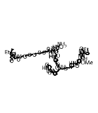 CC[C@@H]1C(=O)N(C)c2cnc(Nc3ccc(C(=O)NC4CCN(CCOCCC(C#Cc5cccc6c5CN(C5CCC(=O)NC5=O)C6=O)NC(=O)OCc5ccc(NC(=O)[C@H](CCCNC(N)=O)NC(=O)[C@@H](NC(=O)CCOCCOCCOCCOCCOCCNC(=O)CCN6C(=O)CC(CC(CC)(CC)C7CC7)C6=O)C(C)C)cc5)CC4)cc3OC)nc2N1C1CCCC1